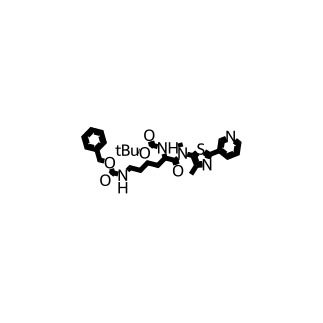 Cc1nc(-c2cccnc2)sc1N(C)C(=O)C(CCCCNC(=O)OCc1ccccc1)NC(=O)OC(C)(C)C